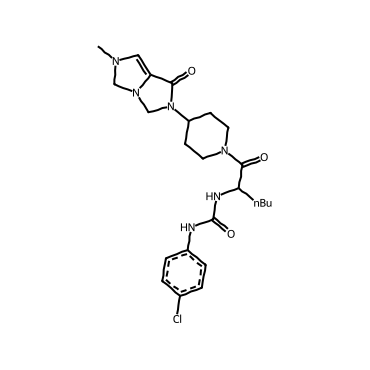 CCCCC(NC(=O)Nc1ccc(Cl)cc1)C(=O)N1CCC(N2CN3CN(C)C=C3C2=O)CC1